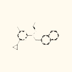 CC=NN(Cc1ccc2ccccc2c1)c1nc(C)cc(C2CC2)n1